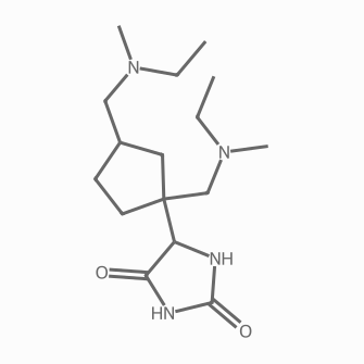 CCN(C)CC1CCC(CN(C)CC)(C2NC(=O)NC2=O)C1